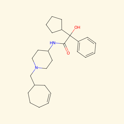 O=C(NC1CCN(CC2CC=CCCC2)CC1)C(O)(c1ccccc1)C1CCCC1